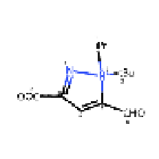 CC(C)[N+]1(C(C)(C)C)N=C(C(=O)[O-])C=C1C=O